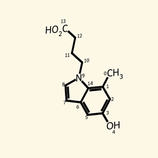 Cc1cc(O)cc2ccn(CCCC(=O)O)c12